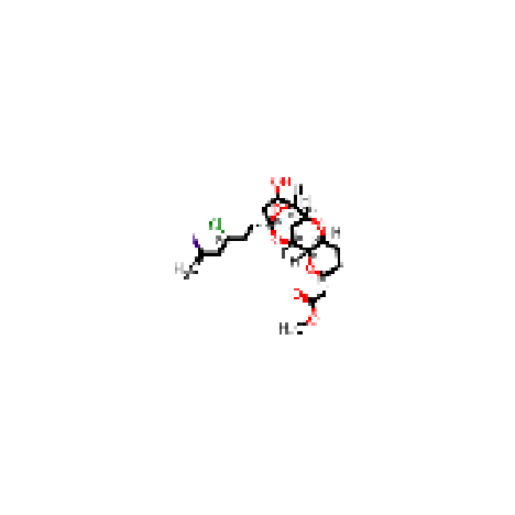 C=C(I)C[C@H](Cl)CC[C@]12CC(O)[C@@H](O1)[C@H]1C[C@@H](O2)[C@H]2O[C@@H](CC(=O)OC)CC[C@@H]2O1